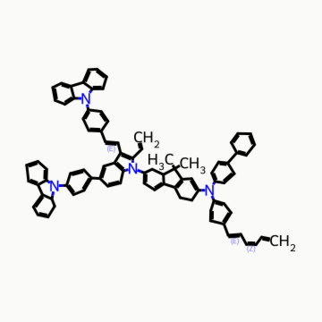 C=C/C=C\C=C\c1ccc(N(C2=CC3=C(CC2)C2=CC=C(n4c(C=C)c(/C=C/c5ccc(-n6c7ccccc7c7ccccc76)cc5)c5cc(-c6ccc(N7c8ccccc8C8=CC=CCC87)cc6)ccc54)CC2C3(C)C)c2ccc(-c3ccccc3)cc2)cc1